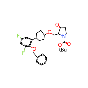 CC(C)(C)OC(=O)N1CCC(=O)C1COC1CCC(c2cc(F)cc(F)c2OCc2ccccc2)CC1